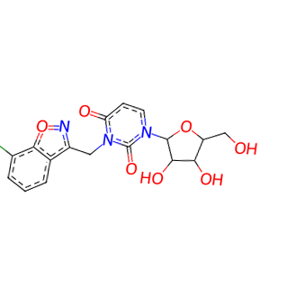 O=c1ccn(C2OC(CO)C(O)C2O)c(=O)n1Cc1noc2c(F)cccc12